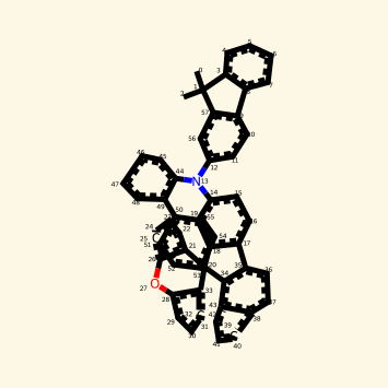 CC1(C)c2ccccc2-c2ccc(N(c3ccc4c(c3)C3(c5ccccc5Oc5ccccc53)c3c-4ccc4ccccc34)c3ccccc3-c3ccccc3)cc21